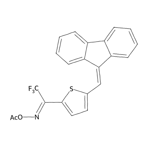 CC(=O)O/N=C(/c1ccc(C=C2c3ccccc3-c3ccccc32)s1)C(F)(F)F